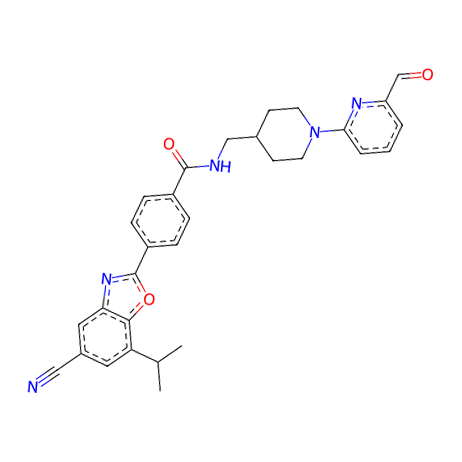 CC(C)c1cc(C#N)cc2nc(-c3ccc(C(=O)NCC4CCN(c5cccc(C=O)n5)CC4)cc3)oc12